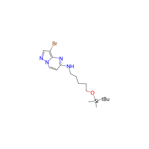 CC(C)(C)[Si](C)(C)OCCCCCNc1ccn2ncc(Br)c2n1